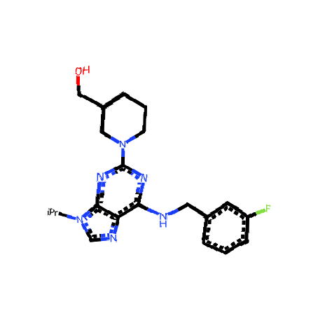 CC(C)n1cnc2c(NCc3cccc(F)c3)nc(N3CCCC(CO)C3)nc21